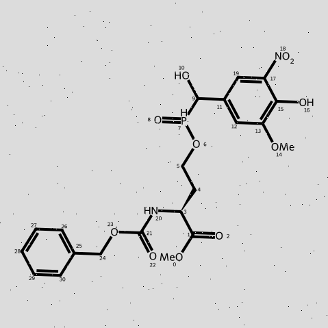 COC(=O)[C@H](CCO[PH](=O)C(O)c1cc(OC)c(O)c([N+](=O)[O-])c1)NC(=O)OCc1ccccc1